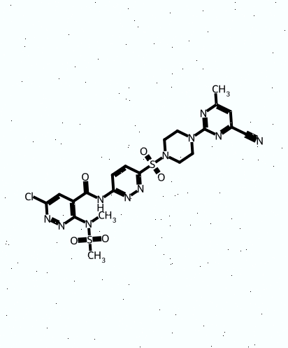 Cc1cc(C#N)nc(N2CCN(S(=O)(=O)c3ccc(NC(=O)c4cc(Cl)nnc4N(C)S(C)(=O)=O)nn3)CC2)n1